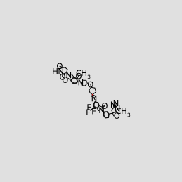 COc1c(N2CCC(OC3CCC4(CC3)CN(c3cc5c(c(C(F)(F)F)c3)CN(c3cccc(C6(Cc7nncn7C)COC6)c3)C5=O)C4)CC2)ccc2c1CN(C1CCC(=O)NC1=O)C2=O